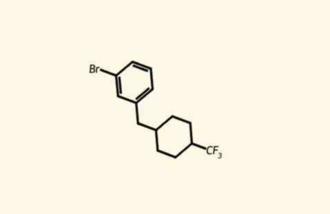 FC(F)(F)C1CCC(Cc2cccc(Br)c2)CC1